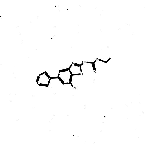 CCNC(=O)Nc1nc2cc(-c3ccccc3)cc(O)c2o1